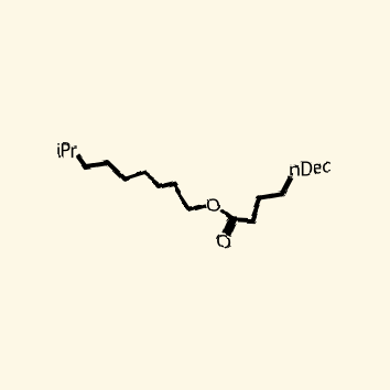 CCCCCCCCCCCCCC(=O)OCCCCCCCC(C)C